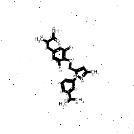 Cc1cc(COc2c(F)cc(CC(C)C(=O)O)cc2F)n(-c2cccc(C(C)C)c2)n1